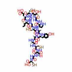 CC[C@H](C)[C@H](NC(=O)[C@H](CCC(=O)O)NC(=O)[C@H](CS)NC(=O)[C@@H](NC(=O)CNC(=O)[C@@H]1CCCN1)[C@@H](C)O)C(=O)NCC(=O)N[C@@H](CS)C(=O)N[C@@H](C)C(=O)N[C@@H](Cc1ccc(O)cc1)C(=O)N[C@@H](C)C(=O)N[C@@H](C)C(=O)N[C@@H](CS)C(=O)N[C@H](C(=O)NCC(=O)N[C@@H](CS)C(=O)O)[C@@H](C)O